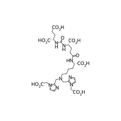 O=C(O)CC[C@H](NC(=O)N[C@@H](CCC(=O)N[C@@H](CCCCN(Cc1nccn1CC(=O)O)Cc1nccn1CC(=O)O)C(=O)O)C(=O)O)C(=O)O